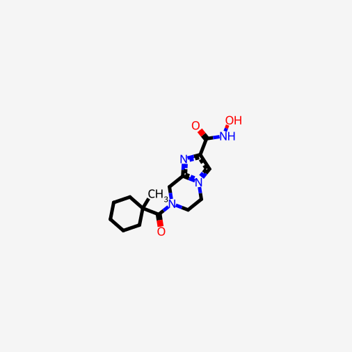 CC1(C(=O)N2CCn3cc(C(=O)NO)nc3C2)CCCCC1